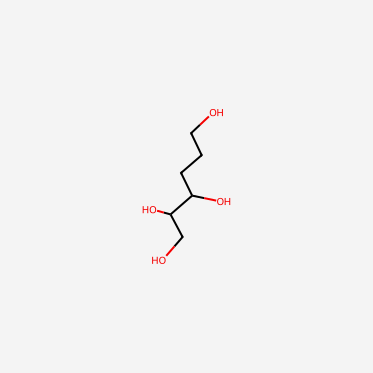 OCCCC(O)C(O)CO